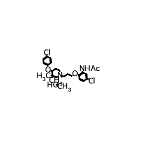 CC(=O)Nc1cc(Cl)ccc1OCCCN1CCC(Oc2ccc(Cl)cc2)C(C)(C)C1.CO